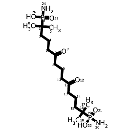 CC(C)(CCCC(=O)CCCC(=O)CCCC(C)(C)P(N)(=O)O)P(N)(=O)O